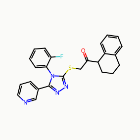 O=C(CSc1nnc(-c2cccnc2)n1-c1ccccc1F)C1CCCc2ccccc21